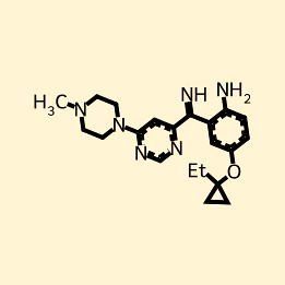 CCC1(Oc2ccc(N)c(C(=N)c3cc(N4CCN(C)CC4)ncn3)c2)CC1